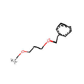 COC[CH]COCc1ccccc1